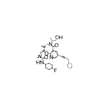 CC(CO)N1C[C@H](C)[C@H](CN(C)C(=O)Nc2ccc(F)cc2)Oc2ncc(C#CCC3CCCC3)cc2C1=O